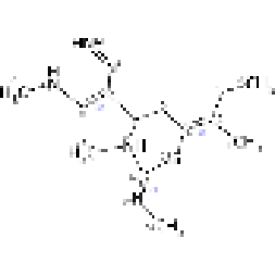 CC/C(C)=C(\CC/C(=C/NC)N=N)S/C(=N\C)NC